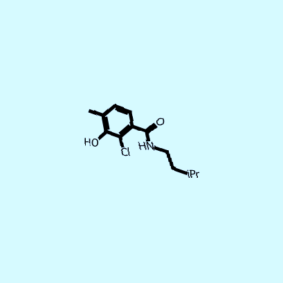 Cc1ccc(C(=O)NCCC(C)C)c(Cl)c1O